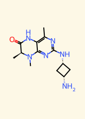 Cc1nc(N[C@H]2C[C@@H](N)C2)nc2c1NC(=O)[C@H](C)N2C